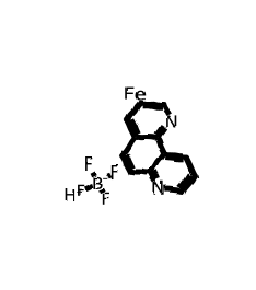 F[B-](F)(F)F.[Fe].[H+].c1cnc2c(c1)ccc1ncccc12